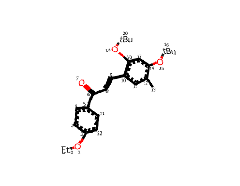 CCOc1ccc(C(=O)/C=C/c2cc(C)c(OC(C)(C)C)cc2OC(C)(C)C)cc1